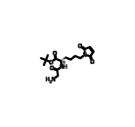 CC(C)(C)OC(=O)[C@H](CCCCN1C(=O)C=CC1=O)NC(=O)CN